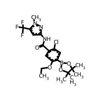 CCOc1cc(C(=O)Nc2cc(C(F)(F)F)n(C)n2)c(Cl)cc1B1OC(C)(C)C(C)(C)O1